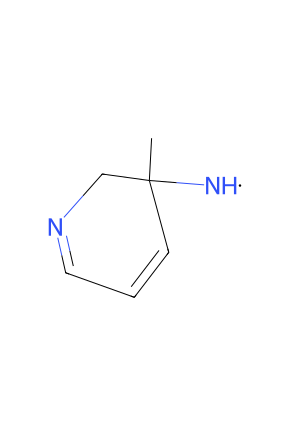 CC1([NH])C=CC=NC1